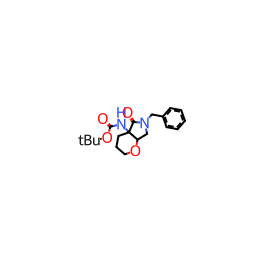 CC(C)(C)OC(=O)NC12CCCOC1CN(Cc1ccccc1)C2=O